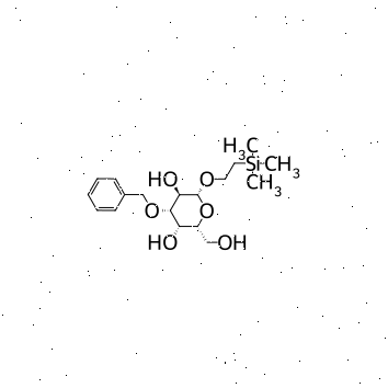 C[Si](C)(C)CCO[C@@H]1O[C@H](CO)[C@H](O)[C@H](OCc2ccccc2)[C@H]1O